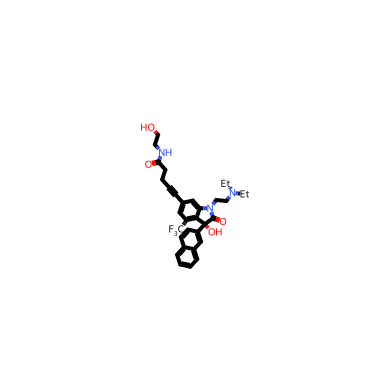 CCN(CC)CCN1C(=O)C(O)(c2ccc3ccccc3c2)c2c1cc(C#CCCC(=O)NCCO)cc2C(F)(F)F